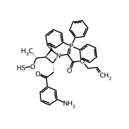 C=CCOC(=O)C(N1C(=O)[C@H]([C@@H](C)OS)[C@H]1CC(=O)c1cccc(N)c1)=P(c1ccccc1)(c1ccccc1)c1ccccc1